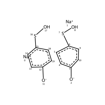 [Na+].[Na+].[O-]c1ccc(SO)cc1.[O-]c1ccc(SO)cc1